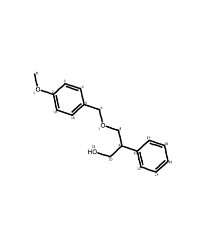 COc1ccc(COCC(CO)c2ccccc2)cc1